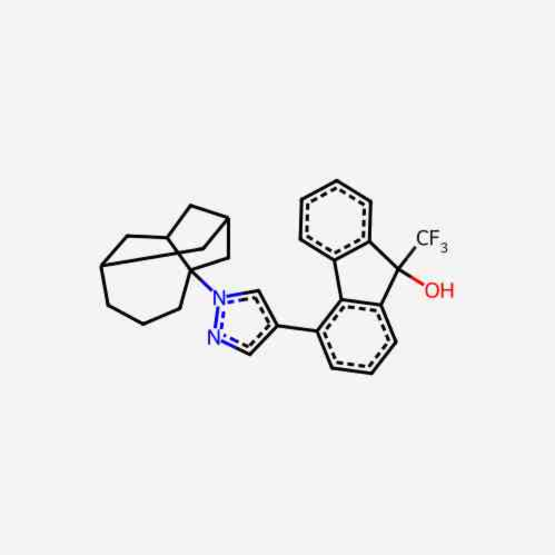 OC1(C(F)(F)F)c2ccccc2-c2c(-c3cnn(C45CCCC6CC(CC4C6)C5)c3)cccc21